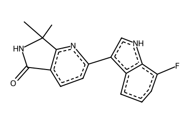 CC1(C)NC(=O)c2ccc(-c3c[nH]c4c(F)cccc34)nc21